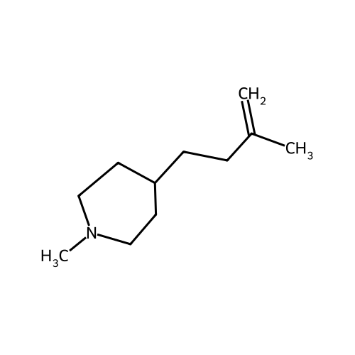 C=C(C)CCC1CCN(C)CC1